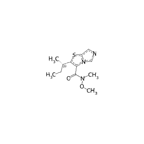 CC[C@H](C)c1sc2cncn2c1C(=O)N(C)OC